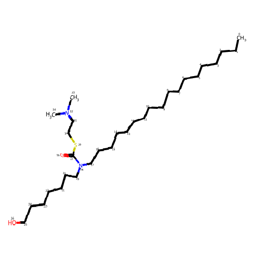 CCCCCCCCCCCCCCCCCCN(CCCCCCCO)C(=O)SCCN(C)C